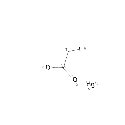 O=C([O-])CI.[Hg+]